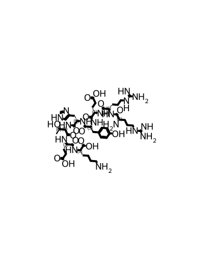 C[C@@H](O)[C@H](NC(=O)[C@H](Cc1c[nH]cn1)NC(=O)[C@H](Cc1ccc(O)cc1)NC(=O)[C@H](CCC(=O)O)NC(=O)[C@H](CCCNC(=N)N)NC(=O)[C@@H](N)CCCNC(=N)N)C(=O)N[C@@H](CCC(=O)O)C(=O)N[C@@H](CCCCN)C(=O)O